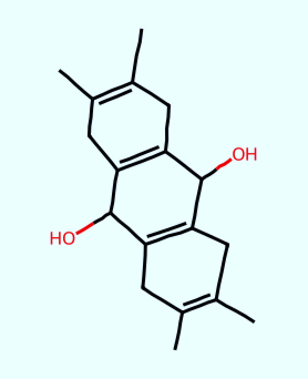 CC1=C(C)CC2=C(C1)C(O)C1=C(CC(C)=C(C)C1)C2O